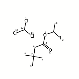 CC(I)OC(=O)CC(C)(C)C.ClC(Cl)Cl